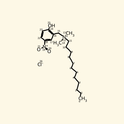 CCCCCCCCCCCC[N+](C)(C)Cc1cc([N+](=O)[O-])ccc1O.[Cl-]